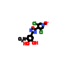 O=[N+]([O-])c1cc(-c2noc(-c3c(Cl)c[n+]([O-])cc3Cl)n2)cc(O)c1O